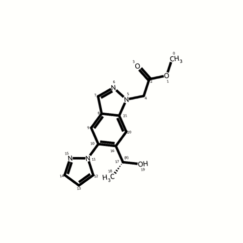 COC(=O)Cn1ncc2cc(-n3cccn3)c([C@@H](C)O)cc21